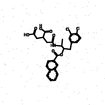 CC(NC(=O)CC(CC(=O)O)C(=O)O)C(Cc1ccc(Cl)c(Cl)c1)OC(=O)c1ccc2ccccc2c1